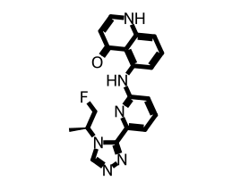 C[C@@H](CF)n1cnnc1-c1cccc(Nc2cccc3[nH]ccc(=O)c23)n1